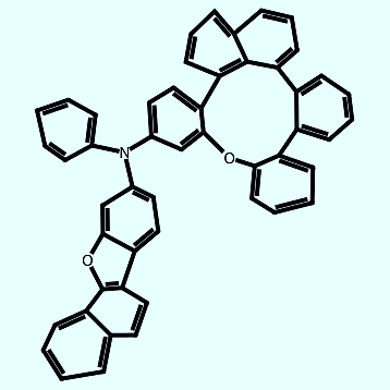 c1ccc(N(c2ccc3c(c2)Oc2ccccc2-c2ccccc2-c2cccc4cccc-3c24)c2ccc3c(c2)oc2c4ccccc4ccc32)cc1